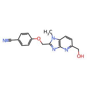 Cn1c(COc2ccc(C#N)cc2)nc2nc(CO)ccc21